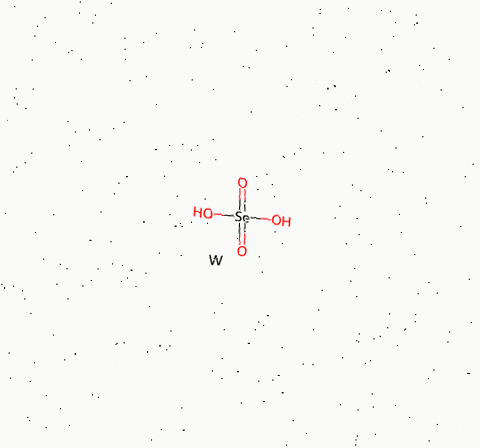 O=[Se](=O)(O)O.[W]